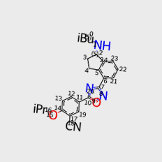 CC[C@H](C)N[C@H]1CCc2c(-c3noc(-c4ccc(OC(C)C)c(C#N)c4)n3)cccc21